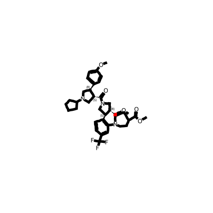 COC[C@H]1CN(C(=O)[C@@H]2CN(C3CCCC3)C[C@H]2c2ccc(OC)cc2)C[C@@H]1c1ccc(C(F)(F)F)cc1N1CCC(C(=O)OC)CC1